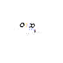 CCC(C)[C@H](NC)C(=O)N[C@H]1CC[C@@H]2CN(S(=O)(=O)c3cccc(C(F)(F)F)c3)C[C@@H]21